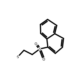 O=S(=O)(CC[S])c1cccc2ccccc12